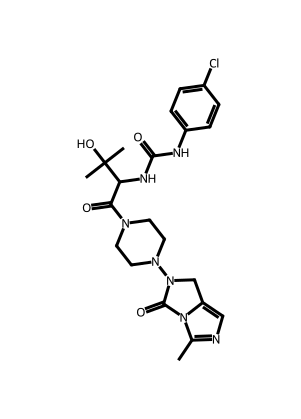 Cc1ncc2n1C(=O)N(N1CCN(C(=O)C(NC(=O)Nc3ccc(Cl)cc3)C(C)(C)O)CC1)C2